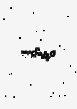 CCOC(=O)c1cc(C#N)c(N2CC(C(=O)NS(=O)(=O)Cc3ccncc3)C2)nc1C